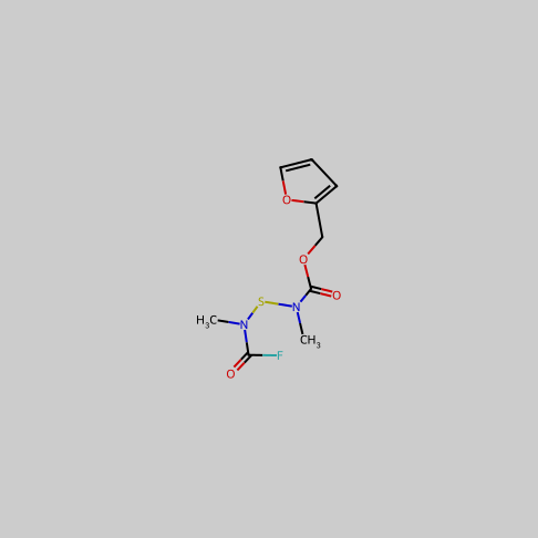 CN(SN(C)C(=O)OCc1ccco1)C(=O)F